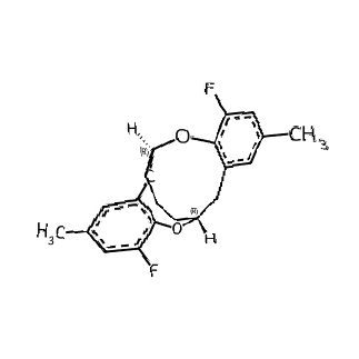 Cc1cc(F)c2c(c1)C[C@H]1CCC[C@H](Cc3cc(C)cc(F)c3O1)O2